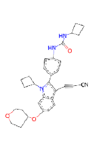 N#CC#Cc1c(-c2ccc(NC(=O)NC3CCC3)cc2)n(C2CCC2)c2cc(OC3CCOCC3)ccc12